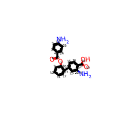 Nc1ccc(C(=O)Oc2ccccc2-c2ccc(C(=O)O)c(N)c2)cc1